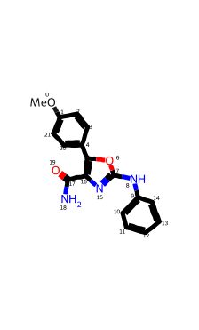 COc1ccc(-c2oc(Nc3ccccc3)nc2C(N)=O)cc1